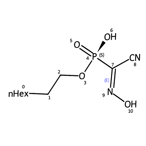 CCCCCCCCO[P@@](=O)(O)/C(C#N)=N/O